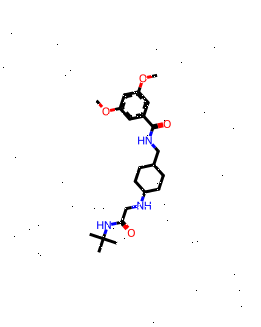 COc1cc(OC)cc(C(=O)NCC2CCC(NCC(=O)NC(C)(C)C)CC2)c1